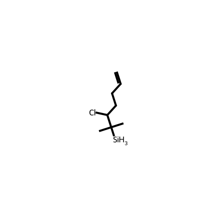 C=CCCC(Cl)C(C)(C)[SiH3]